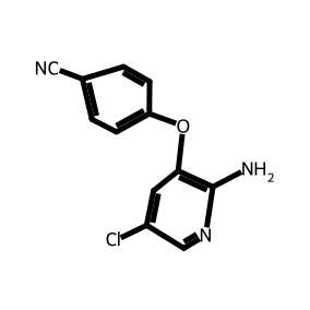 N#Cc1ccc(Oc2cc(Cl)cnc2N)cc1